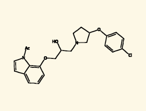 CC(=O)n1ccc2cccc(OCC(O)CN3CCC(Oc4ccc(Cl)cc4)C3)c21